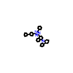 C1=CC2c3ccccc3N(c3ccc(-c4nc(-c5ccccc5)nc(-c5ccc(-c6ccccc6)cc5)n4)c4ccccc34)C2C=C1